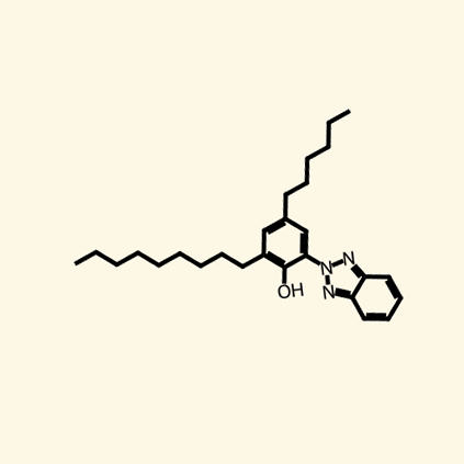 CCCCCCCCCc1cc(CCCCCC)cc(-n2nc3ccccc3n2)c1O